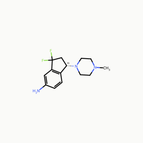 CN1CCN([C@H]2CC(F)(F)c3cc(N)ccc32)CC1